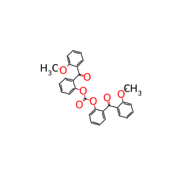 COc1ccccc1C(=O)c1ccccc1OC(=O)Oc1ccccc1C(=O)c1ccccc1OC